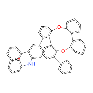 c1ccc(Nc2ccc(-c3cccc4c3-c3cccc(-c5ccccc5)c3Oc3ccccc3-c3ccccc3O4)cc2-c2ccccc2)cc1